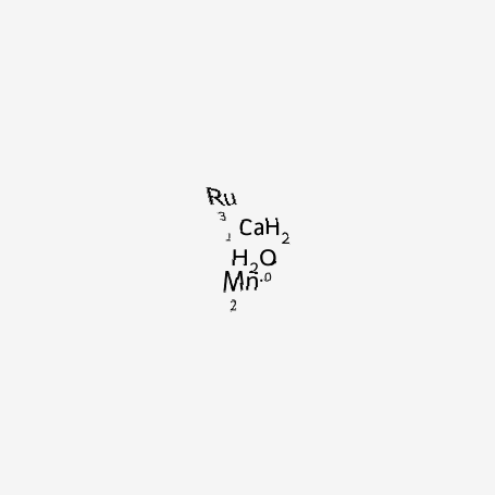 O.[CaH2].[Mn].[Ru]